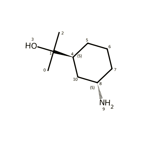 CC(C)(O)[C@H]1CCC[C@H](N)C1